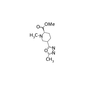 COC(=O)[C@H]1CCC(c2nnc(C)o2)CN1C